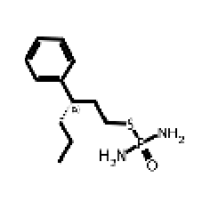 CCC[C@@H](CCSP(N)(N)=O)c1ccccc1